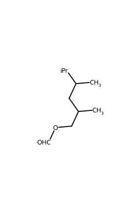 CC(CO[C]=O)CC(C)C(C)C